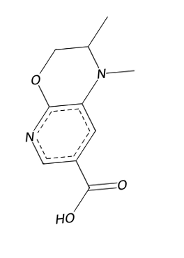 CC1COc2ncc(C(=O)O)cc2N1C